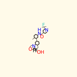 Cc1ccc(NC(=O)c2ccnc(C(C)(C)F)c2)cc1-c1ccc2c(c1)N1CCOC[C@H]1[C@H](CO)C2